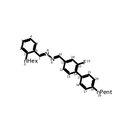 CCCCCCc1ccccc1C=NN=Cc1ccc(-c2ccc(CCCCC)cc2)c(F)c1